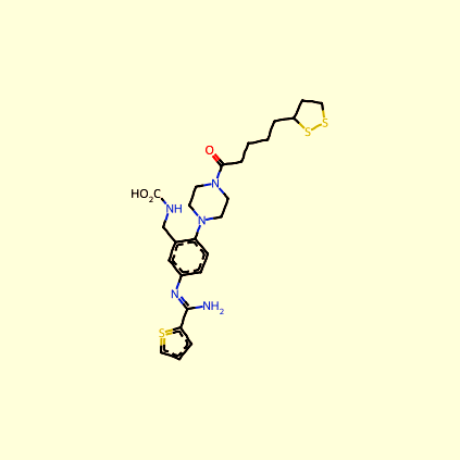 N/C(=N\c1ccc(N2CCN(C(=O)CCCCC3CCSS3)CC2)c(CNC(=O)O)c1)c1cccs1